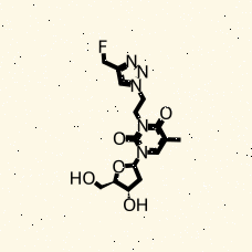 Cc1cn(C2C[C@H](O)[C@@H](CO)O2)c(=O)n(CCn2cc(CF)nn2)c1=O